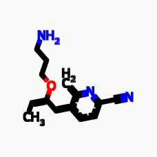 C=c1nc(C#N)cc/c1=C/C(=C\C)OCCCN